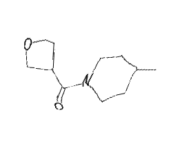 CC1CCN(C(=O)C2COC2)CC1